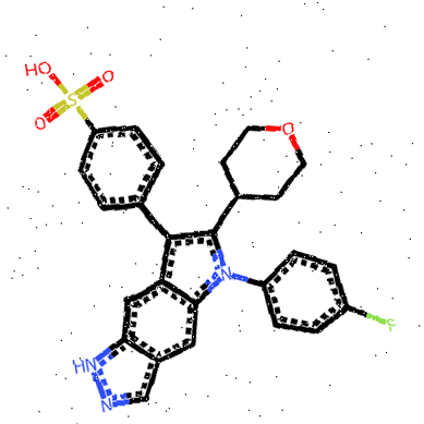 O=S(=O)(O)c1ccc(-c2c(C3CCOCC3)n(-c3ccc(F)cc3)c3cc4cn[nH]c4cc23)cc1